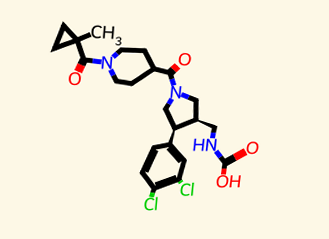 CC1(C(=O)N2CCC(C(=O)N3C[C@@H](CNC(=O)O)[C@@H](c4ccc(Cl)c(Cl)c4)C3)CC2)CC1